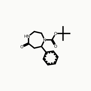 CC(C)(C)OC(=O)N1CCNC(=O)CC1c1ccccc1